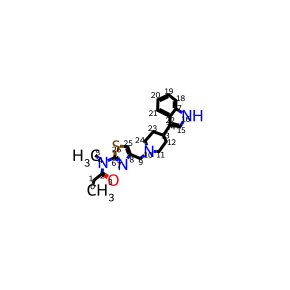 CCC(=O)N(C)c1nc(CN2CCC(c3c[nH]c4ccccc34)CC2)cs1